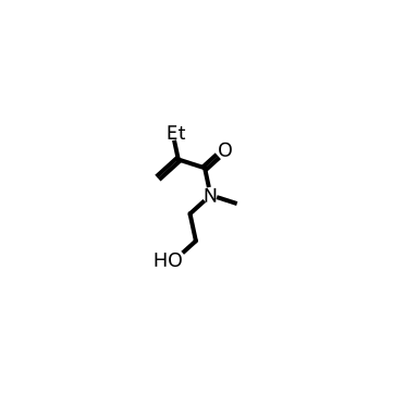 C=C(CC)C(=O)N(C)CCO